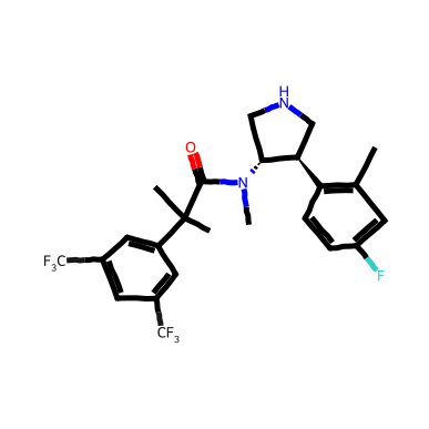 Cc1cc(F)ccc1[C@@H]1CNC[C@H]1N(C)C(=O)C(C)(C)c1cc(C(F)(F)F)cc(C(F)(F)F)c1